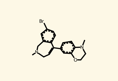 CN1CC=C(c2ccc3c(c2)OCCN3C)c2ccc(Br)cc2C1